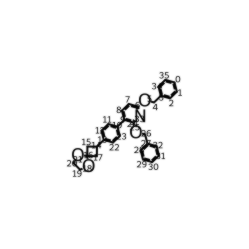 c1ccc(COc2ccc(-c3ccc(C4CC5(C4)OCCO5)cc3)c(OCc3ccccc3)n2)cc1